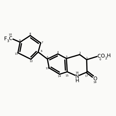 O=C(O)C1Cc2cc(-c3ccc(C(F)(F)F)cc3)ccc2NC1=O